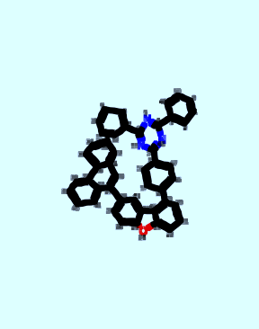 c1ccc(-c2nc(-c3ccccc3)nc(-c3ccc(-c4cccc5oc6ccc(-c7cc8ccccc8c8ccccc78)cc6c45)cc3)n2)cc1